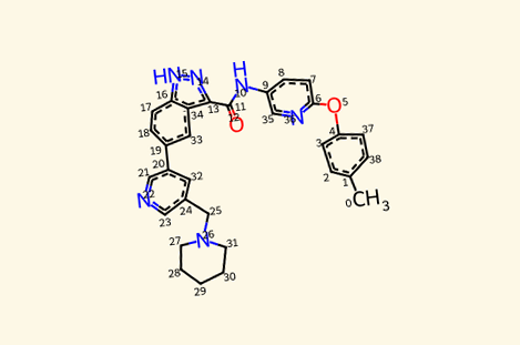 Cc1ccc(Oc2ccc(NC(=O)c3n[nH]c4ccc(-c5cncc(CN6CCCCC6)c5)cc34)cn2)cc1